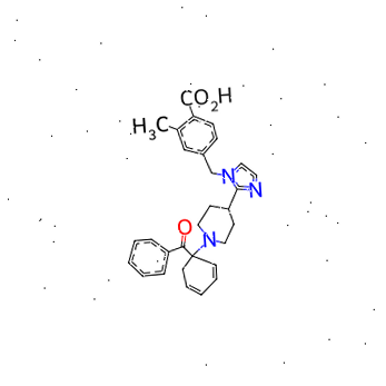 Cc1cc(Cn2ccnc2C2CCN(C3(C(=O)c4ccccc4)C=CC=CC3)CC2)ccc1C(=O)O